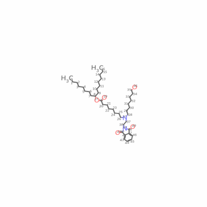 CCCCCCCCC(CCCCCCCC)OC(=O)CCCCCCCN(CCCCCCCC=O)CCN1C(=O)c2ccccc2C1=O